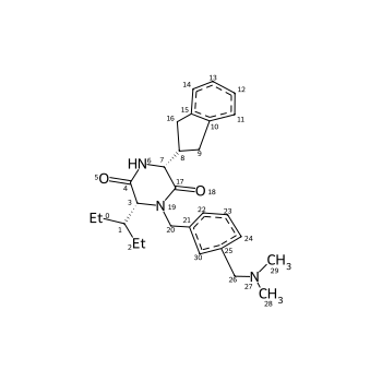 CCC(CC)[C@@H]1C(=O)N[C@H](C2Cc3ccccc3C2)C(=O)N1Cc1cccc(CN(C)C)c1